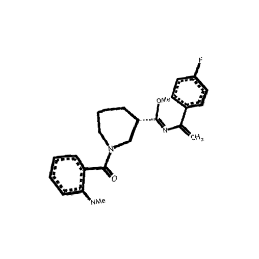 C=C(/N=C(\OC)[C@H]1CCCN(C(=O)c2ccccc2NC)C1)c1ccc(F)cc1